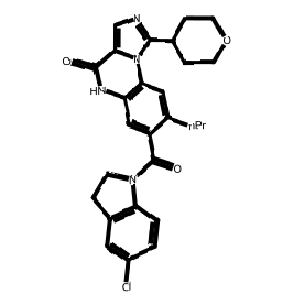 CCCc1cc2c(cc1C(=O)N1CCc3cc(Cl)ccc31)[nH]c(=O)c1cnc(C3CCOCC3)n12